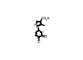 Cc1c(C(=O)O)cnn1-c1ccc(Cl)c(Cl)c1